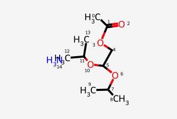 CC(=O)OCC(OC(C)C)OC(C)C.N